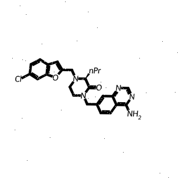 CCC[C@H]1C(=O)N(Cc2ccc3c(N)ncnc3c2)CCN1Cc1cc2ccc(Cl)cc2o1